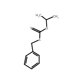 CC(C)OC(=S)SCc1ccccc1